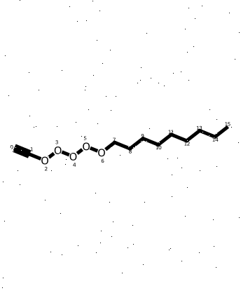 C#COOOOOCCCCCCCCC